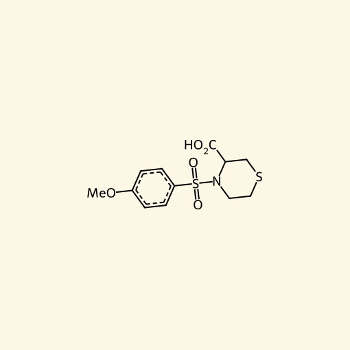 COc1ccc(S(=O)(=O)N2CCSCC2C(=O)O)cc1